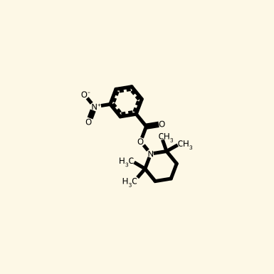 CC1(C)CCCC(C)(C)N1OC(=O)c1cccc([N+](=O)[O-])c1